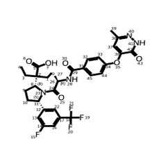 CCC(CC)(C(=O)O)[C@H]1CC[C@@H](c2cc(F)cc(C(F)(F)F)c2)N1C(=O)[C@@H](C)NC(=O)c1ccc(Oc2cc(C)n[nH]c2=O)cc1